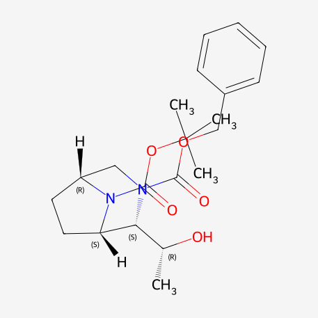 C[C@@H](O)[C@@H]1[C@@H]2CC[C@H](CN1C(=O)OCc1ccccc1)N2C(=O)OC(C)(C)C